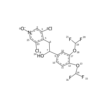 [O-][n+]1cc(Cl)c(CC(O)c2ccc(OC(F)F)c(OC(F)F)c2)c(Cl)c1